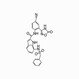 N#Cc1ccc(NC(=O)c2cc3cccc(NS(=O)(=O)Cc4ccccc4)c3[nH]2)c(-c2noc(=O)[nH]2)c1